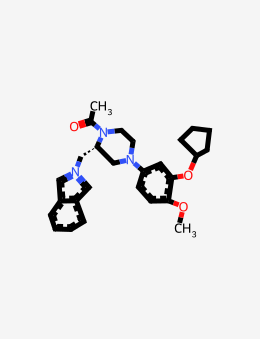 COc1ccc(N2CCN(C(C)=O)[C@@H](Cn3cc4ccccc4c3)C2)cc1OC1CCCC1